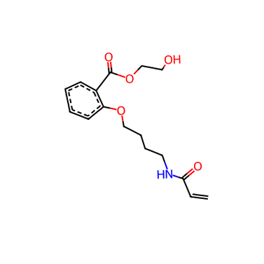 C=CC(=O)NCCCCOc1ccccc1C(=O)OCCO